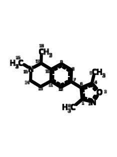 Cc1noc(C)c1-c1ccc2c(c1)CCN(C)C2C